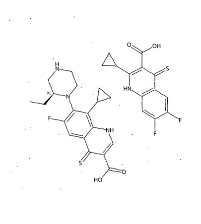 CC[C@H]1CNCCN1c1c(F)cc2c(=S)c(C(=O)O)c[nH]c2c1C1CC1.O=C(O)c1c(C2CC2)[nH]c2cc(F)c(F)cc2c1=S